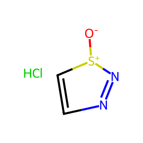 Cl.[O-][s+]1ccnn1